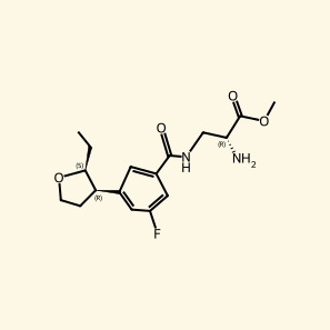 CC[C@@H]1OCC[C@@H]1c1cc(F)cc(C(=O)NC[C@@H](N)C(=O)OC)c1